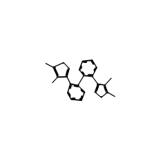 CC1=C(C)C(c2ccccc2-c2ccccc2C2=[C]CC(C)=C2C)=[C]C1